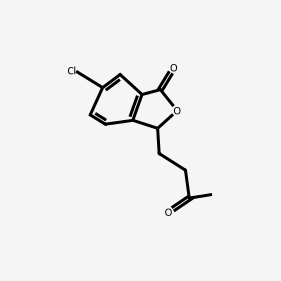 CC(=O)CCC1OC(=O)c2cc(Cl)ccc21